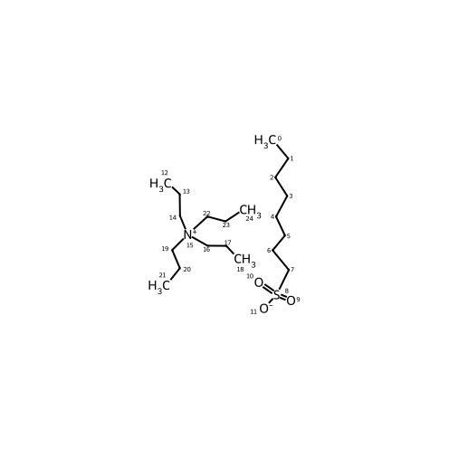 CCCCCCCCS(=O)(=O)[O-].CCC[N+](CCC)(CCC)CCC